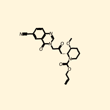 C=CCOC(=O)N1CCC[C@H](OC)[C@H]1CC(=O)Cn1cnc2ccc(C#N)cc2c1=O